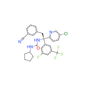 N#Cc1cccc(C[C@](NC(=O)NC2CCCC2)(c2cc(F)cc(C(F)(F)F)c2)c2ccc(Cl)cn2)c1